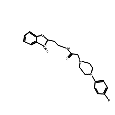 O=C(CN1CCN(c2ccc(F)cc2)CC1)NCCC1Oc2ccccc2[N+]1=O